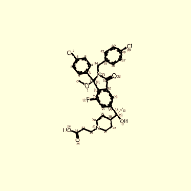 CO[C@]1(c2ccc(Cl)cc2)c2c(F)cc([C@@](C)(O)C3CCN(CCC(=O)O)CC3)cc2C(=O)N1Cc1ccc(Cl)cc1